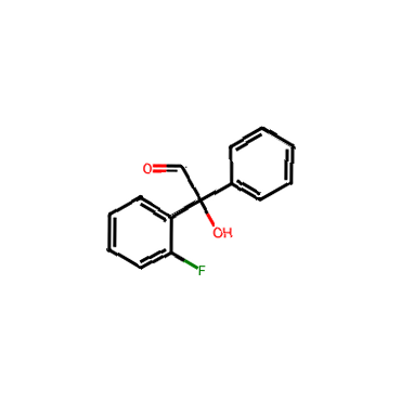 O=[C]C(O)(c1ccccc1)c1ccccc1F